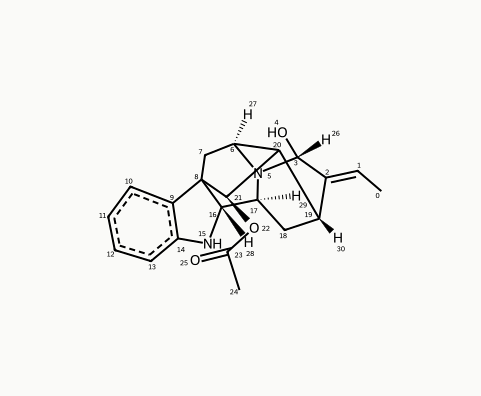 C/C=C1/[C@@H](O)N2[C@H]3CC45c6ccccc6N[C@H]4[C@@H]2C[C@@H]1C3[C@H]5OC(C)=O